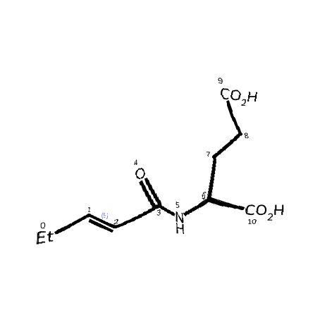 CC/C=C/C(=O)NC(CCC(=O)O)C(=O)O